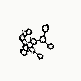 c1ccc(-c2cc(-c3ccccc3)cc(-c3cnc(-n4c5ccccc5c5ccc6oc7ccccc7c6c54)c(-c4nc(-c5ccccc5)nc(-c5ccccc5)n4)c3)c2)cc1